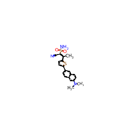 C/C(=C(/C#N)S(N)(=O)=O)c1ccc(-c2ccc3cc(N(C)C)ccc3c2)s1